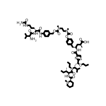 CCCO[C@H](C[C@H](C(C)C)N(CCC)C(=O)[C@@H](NC(=O)[C@H]1CCCCN1C)[C@@H](C)CC)c1nc(C(=O)N[C@@H](Cc2ccc(OC(=O)N(C)CCN(C)C(=O)OCc3ccc(NC(=O)[C@@H](CCCNC(N)=O)NC(=O)[C@H](N)C(C)C)cc3)cc2)C[C@H](C)C(=O)O)cs1